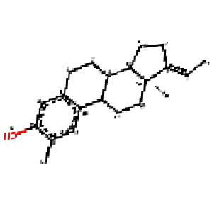 CC=C1CCC2C3CCc4cc(O)c(C)cc4C3CC[C@]12C